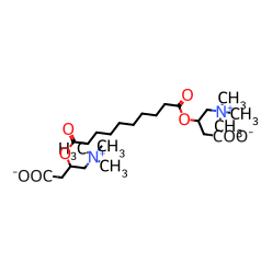 C[N+](C)(C)CC(CC(=O)[O-])OC(=O)CCCCCCCCC(=O)OC(CC(=O)[O-])C[N+](C)(C)C